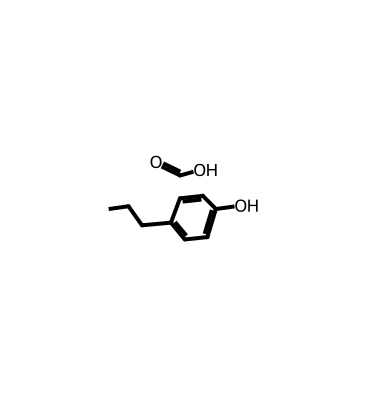 CCCc1ccc(O)cc1.O=CO